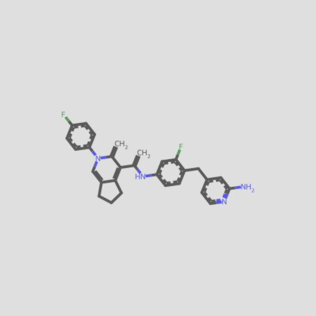 C=C(Nc1ccc(Cc2ccnc(N)c2)c(F)c1)C1=C2CCCC2=CN(c2ccc(F)cc2)C1=C